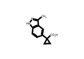 Cc1n[nH]c2ccc(C3(C(=O)O)CC3)cc12